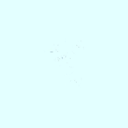 C=C(c1ccc2c(c1)CCc1cc(C(=O)N(C)C)ccc1C2(C[C@H](C)NCC(=C)N1C(C#N)C[C@@H]2C[C@@H]21)C(=O)O)N(C)C